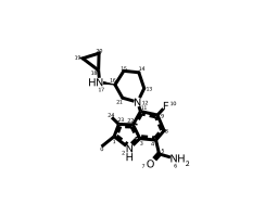 Cc1[nH]c2c(C(N)=O)cc(F)c(N3CCC[C@H](NC4CC4)C3)c2c1C